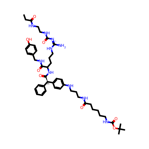 CCC(=O)NCCNC(=O)/N=C(/N)NCCCC(NC(=O)[C@H](c1ccccc1)c1ccc(NCCCNC(=O)CCCCCNC(=O)OC(C)(C)C)cc1)C(=O)NCc1ccc(O)cc1